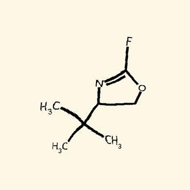 CC(C)(C)C1COC(F)=N1